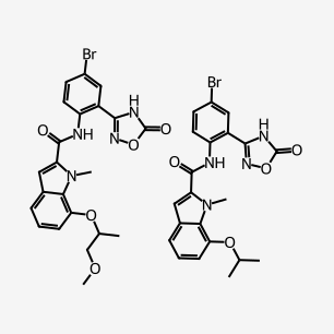 CC(C)Oc1cccc2cc(C(=O)Nc3ccc(Br)cc3-c3noc(=O)[nH]3)n(C)c12.COCC(C)Oc1cccc2cc(C(=O)Nc3ccc(Br)cc3-c3noc(=O)[nH]3)n(C)c12